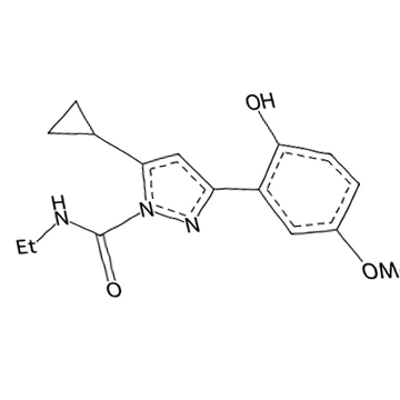 CCNC(=O)n1nc(-c2cc(OC)ccc2O)cc1C1CC1